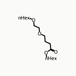 CCCCCCOCCOCCCC(=O)OCCCCCC